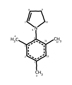 Cc1cc(C)c(N2C=CCC2)c(C)c1